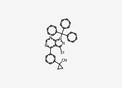 CCc1nn(C(c2ccccc2)(c2ccccc2)c2ccccc2)c2ncnc(-c3cccc(C4(C#N)CC4)c3)c12